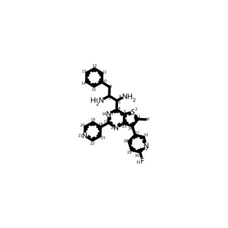 Cc1sc2c(C(N)C(N)Cc3ccccc3)nc(-c3ccncc3)nc2c1-c1ccc(F)nc1